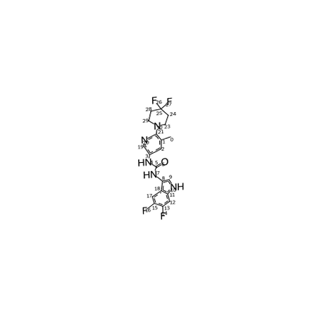 Cc1cc(NC(=O)Nc2c[nH]c3cc(F)c(F)cc23)cnc1N1CCC(F)(F)CC1